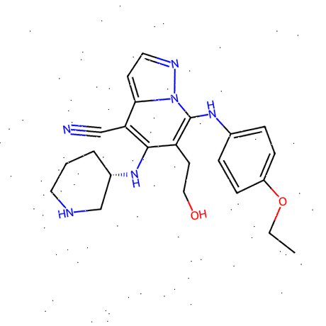 CCOc1ccc(Nc2c(CCO)c(N[C@H]3CCCNC3)c(C#N)c3ccnn23)cc1